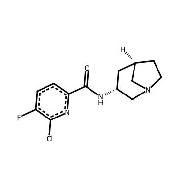 O=C(N[C@@H]1C[C@H]2CCN(C2)C1)c1ccc(F)c(Cl)n1